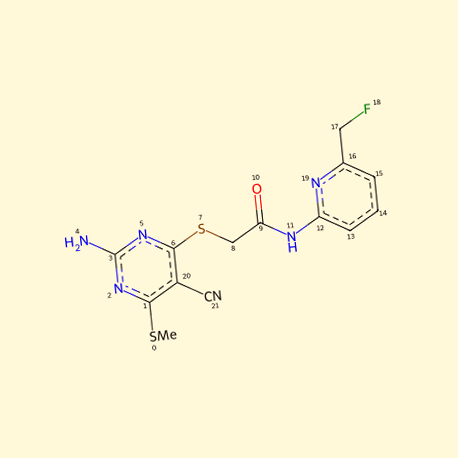 CSc1nc(N)nc(SCC(=O)Nc2cccc(CF)n2)c1C#N